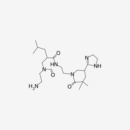 CC(C)CC(CN(C=O)CCN)C(=O)NCCN1CC(C2=NCCN2)CC(C)(C)C1=O